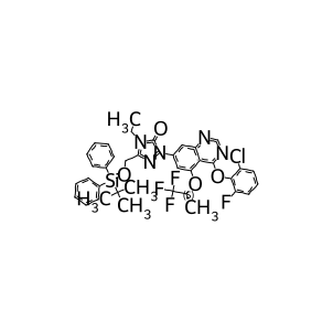 CCn1c(CO[Si](c2ccccc2)(c2ccccc2)C(C)(C)C)nn(-c2cc(O[C@@H](C)C(F)(F)F)c3c(Oc4c(F)cccc4Cl)ncnc3c2)c1=O